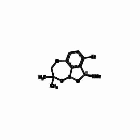 CCc1ccc2c3c1[C@@H](NC)OB3OC(C)(C)CO2